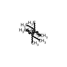 CCCCCCCCC(CCCCCC)CN1CC2=C(c3ccc(-c4cc(C)cs4)s3)N(CC(CCCCCC)CCCCCCCC)C(=O)C2=C1c1ccc(-c2cc(C)cs2)s1